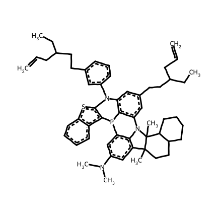 C=CCC(CC)CCc1cccc(N2c3cc(CCC(CC)CC=C)cc4c3P(c3cc(N(C)C)cc5c3N4C3(C)C4CCCCC4CCC53C)c3c2sc2ccccc32)c1